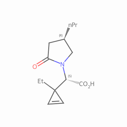 CCC[C@@H]1CC(=O)N([C@H](C(=O)O)C2(CC)C=C2)C1